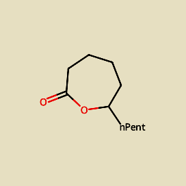 CCCCCC1CCCCC(=O)O1